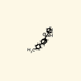 Cc1ccc(C23CC4CC(C2)C(C(=O)NC2CN5CCC2CC5)(C4)C3)cc1